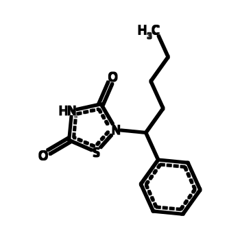 CCCCC(c1ccccc1)n1sc(=O)[nH]c1=O